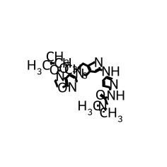 Cc1c(N2CCc3cnc(Nc4ccc(NC(=O)CN(C)C)nc4)cc3C2)cnc2c1N(C(=O)OC(C)(C)C)CCO2